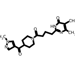 Cc1nc(CCCC(=O)N2CCC(C(=O)c3cnn(C)c3)CC2)[nH]c(=O)c1C